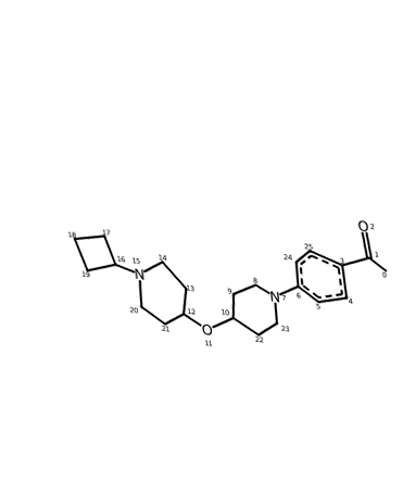 CC(=O)c1ccc(N2CCC(OC3CCN(C4CCC4)CC3)CC2)cc1